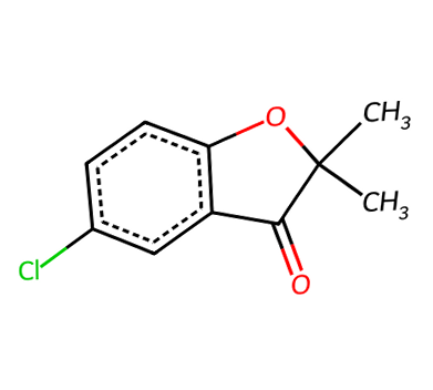 CC1(C)Oc2ccc(Cl)cc2C1=O